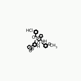 COc1cccc(CNC(C2CCCC2)[C@H](O)[C@H](Cc2cccc(N3CCCS3(=O)=O)c2)NC(=O)c2ccccc2)c1.Cl